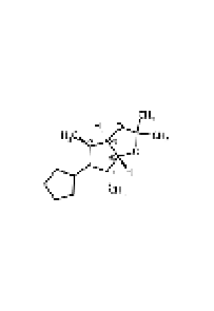 C[C@H]1[C@H]2OC(C)(C)O[C@@H]2[C@H](C)P1C1CCCC1